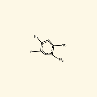 Nc1cc(F)c(Br)cc1N=O